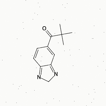 CC(C)(C)C(=O)c1ccc2c(c1)=NCN=2